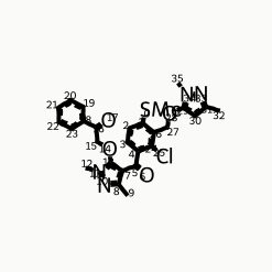 CSc1ccc(C(=O)c2c(C)nn(C)c2OCC(=O)c2ccccc2)c(Cl)c1COc1cc(C)nn1C